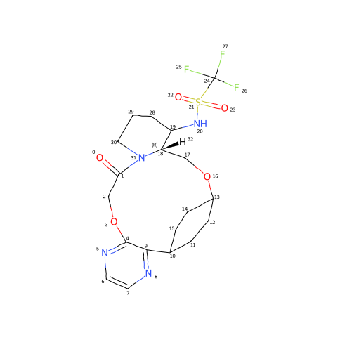 O=C1COc2nccnc2C2CCC(CC2)OC[C@H]2C(NS(=O)(=O)C(F)(F)F)CCCN12